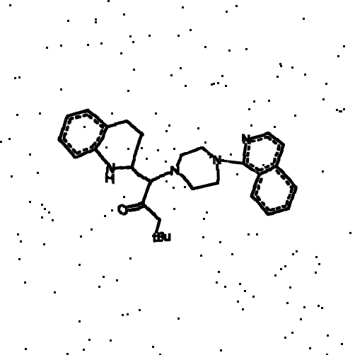 CC(C)(C)CC(=O)C(C1CCc2ccccc2N1)N1CCN(c2nccc3ccccc23)CC1